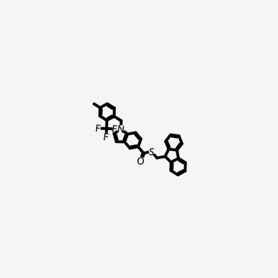 Cc1ccc(Cn2ccc3cc(C(=O)SCC4c5ccccc5-c5ccccc54)ccc32)c(C(F)(F)F)c1